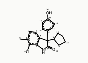 Cc1ccc2c(c1Cl)NC(=O)C2(c1ccc(O)cc1)C1CCCC1